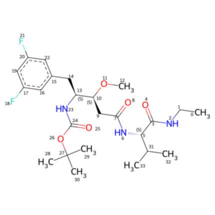 CCNC(=O)[C@@H](NC(=O)C[C@H](OC)[C@H](Cc1cc(F)cc(F)c1)NC(=O)OC(C)(C)C)C(C)C